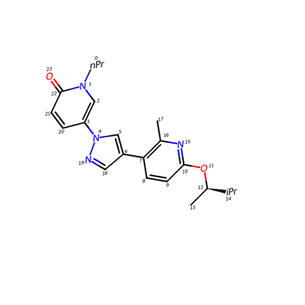 CCCn1cc(-n2cc(-c3ccc(O[C@H](C)C(C)C)nc3C)cn2)ccc1=O